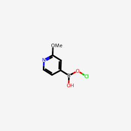 COc1cc(B(O)OCl)ccn1